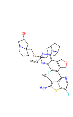 COCCN1CC2CCC(C1)N2c1nc(OCC23CCCN2CC(O)C3)nc2c(F)c(-c3ncc(F)c4sc(N)c(C#N)c34)c3c(c12)COC3